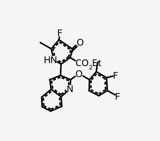 CCOC(=O)c1c(-c2cc3ccccc3nc2Oc2ccc(F)c(F)c2C)[nH]c(C)c(F)c1=O